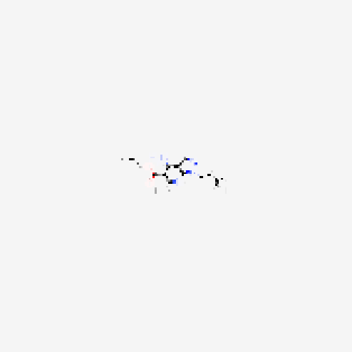 C=CCOC(=O)c1c(C)nc2c(cnn2CCC(=C)C)c1N